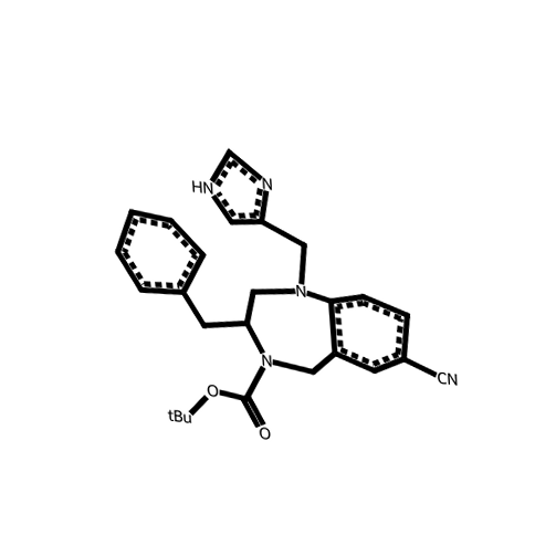 CC(C)(C)OC(=O)N1Cc2cc(C#N)ccc2N(Cc2c[nH]cn2)CC1Cc1ccccc1